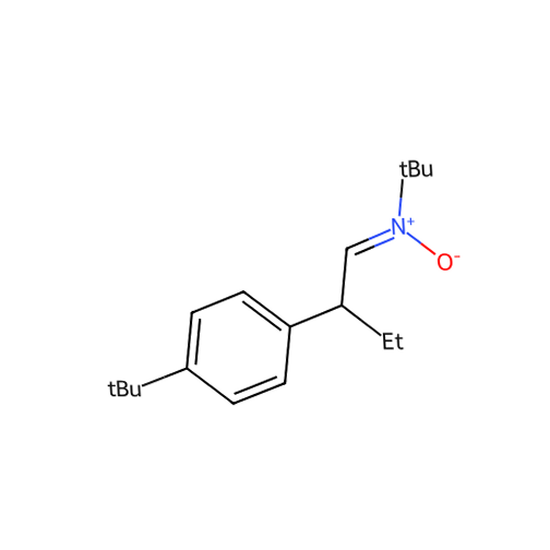 CCC(C=[N+]([O-])C(C)(C)C)c1ccc(C(C)(C)C)cc1